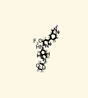 Cn1cc2cc(-c3cc(C(F)(F)F)c(N[C@@H]4C[C@@H]5CN(C[C@H]6COCCO6)C[C@@H]5C4)nn3)ccc2n1